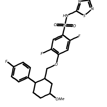 COC1CCC(c2ccc(F)cc2)C(COc2cc(F)c(S(=O)(=O)Nc3ncns3)cc2F)C1